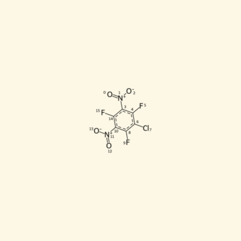 O=[N+]([O-])c1c(F)c(Cl)c(F)c([N+](=O)[O-])c1F